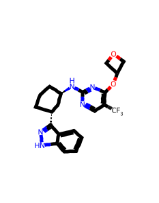 FC(F)(F)c1cnc(N[C@@H]2CCC[C@@H](c3n[nH]c4ccccc34)C2)nc1OC1COC1